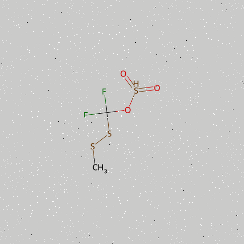 CSSC(F)(F)O[SH](=O)=O